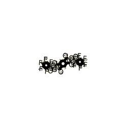 O=C1C2CC3C(=O)N(OS(=O)(=O)c4c(F)c(F)c(F)c(F)c4F)C(=O)C3CC2C(=O)N1OS(=O)(=O)c1c(F)c(F)c(F)c(F)c1F